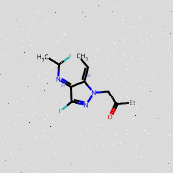 C/C=C1\C(=N/C(C)F)C(F)=NN1CC(=O)CC